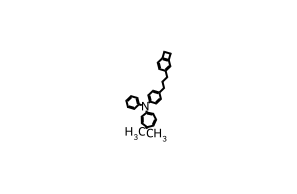 CC1(C)C=CC=C(N(c2ccccc2)c2ccc(CCCc3ccc4c(c3)CC4)cc2)C=C1